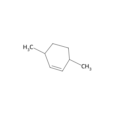 CC1C=CC(C)CC1